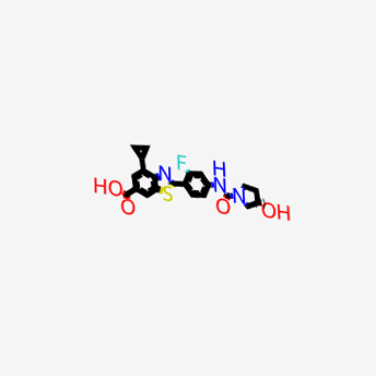 O=C(O)c1cc(C2CC2)c2nc(-c3ccc(NC(=O)N4CC[C@@H](O)C4)cc3F)sc2c1